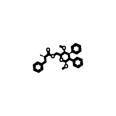 CO[C@@H]1OC(COC(=O)[C@@H](C)Cc2ccccc2)[C@@H](OC)[C@H](c2ccccc2)C1c1ccccc1